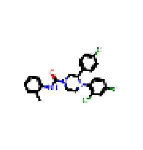 Cc1ccccc1NC(=O)N1CCN(c2ccc(Cl)cc2Cl)C(c2ccc(Cl)cc2)C1